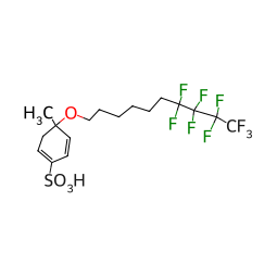 CC1(OCCCCCCC(F)(F)C(F)(F)C(F)(F)C(F)(F)F)C=CC(S(=O)(=O)O)=CC1